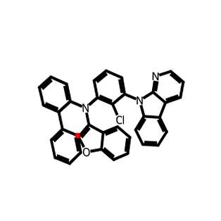 Clc1c(N(c2ccccc2-c2ccccc2)c2coc3ccccc23)cccc1-n1c2ccccc2c2cccnc21